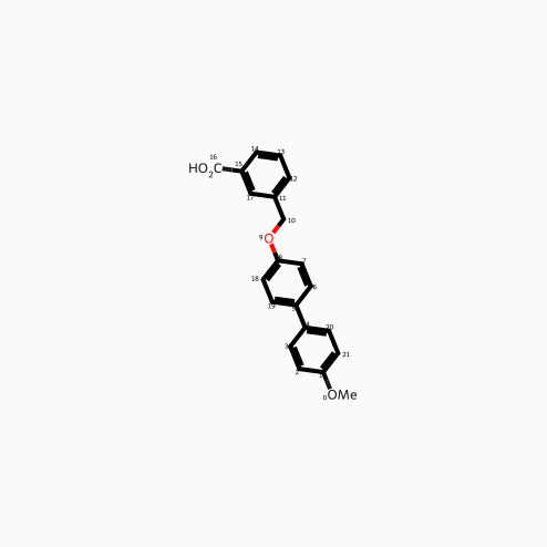 COc1ccc(-c2ccc(OCc3cccc(C(=O)O)c3)cc2)cc1